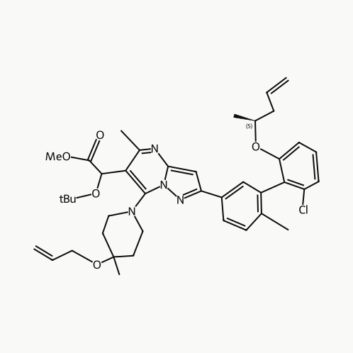 C=CCOC1(C)CCN(c2c(C(OC(C)(C)C)C(=O)OC)c(C)nc3cc(-c4ccc(C)c(-c5c(Cl)cccc5O[C@@H](C)CC=C)c4)nn23)CC1